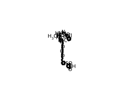 Cc1nc(Nc2ncc(C(=O)Nc3c(C)cccc3Cl)s2)cc(N2CCN(CCOCCOCCOCCCc3cccc(SC4CCC(=O)NC4=O)c3)CC2)n1